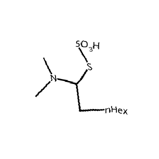 CCCCCCCC(SS(=O)(=O)O)N(C)C